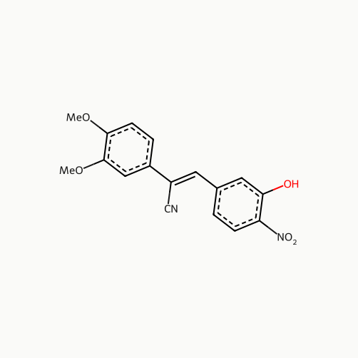 COc1ccc(C(C#N)=Cc2ccc([N+](=O)[O-])c(O)c2)cc1OC